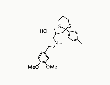 COc1ccc(CCN(C)CC(C)CC2(c3ccc(C)cc3)SCCCS2)cc1OC.Cl